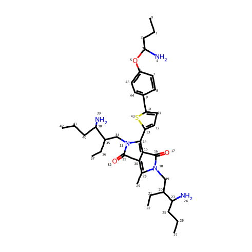 CCCC(N)Oc1ccc(-c2ccc(C3=C4C(=O)N(CC(CC)C(N)CCC)C(C)=C4C(=O)N3CC(CC)C(N)CCC)s2)cc1